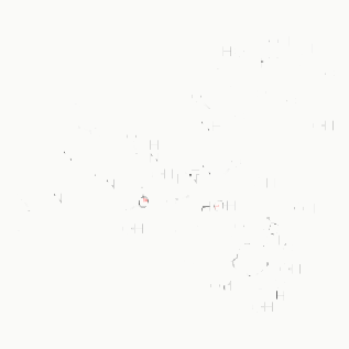 O=C(O)CN1CCN(CC(=O)O)CC(CCC(=O)NCC(CNC(=O)C(O)C(O)C(OC2OC(CO)C(O)C(O)C2O)C(O)CO)(CNC(=O)C(O)C(O)C(OC2OC(CO)C(O)C(O)C2O)C(O)CO)CNC(=O)C(O)C(O)C(OC2OC(CO)C(O)C(O)C2O)C(O)CO)(N(CC(=O)O)CC(=O)O)CC1